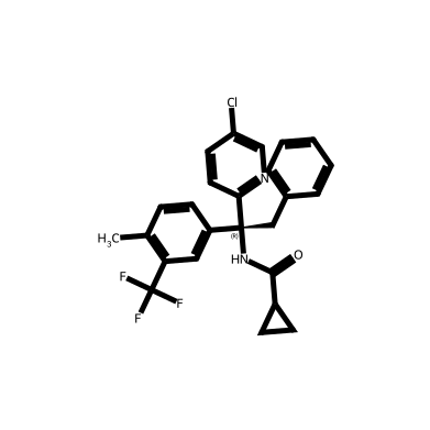 Cc1ccc([C@@](Cc2ccccc2)(NC(=O)C2CC2)c2ccc(Cl)cn2)cc1C(F)(F)F